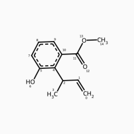 C=CC(C)c1c(O)cccc1C(=O)OC